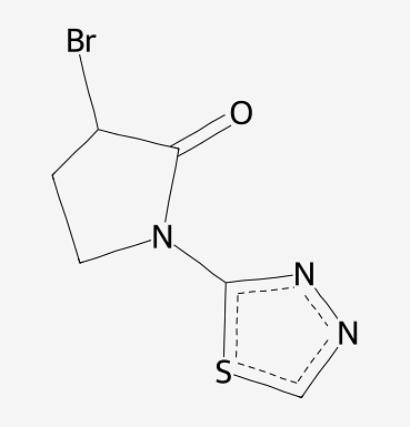 O=C1C(Br)CCN1c1nncs1